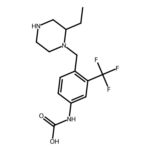 CCC1CNCCN1Cc1ccc(NC(=O)O)cc1C(F)(F)F